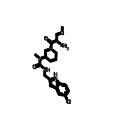 COCC(N)C(=O)N1CCCC(N(C)C(=O)NCc2cc3cc(Cl)ccc3[nH]2)C1